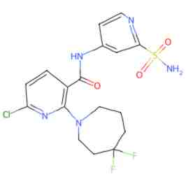 NS(=O)(=O)c1cc(NC(=O)c2ccc(Cl)nc2N2CCCC(F)(F)CC2)ccn1